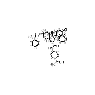 CC(O)[C@@H]1CC[C@@H](NC(=O)[C@@H]2NC3(CCC(C)(C)CC3)[C@@]3(C(=O)Nc4cc(Cl)ccc43)[C@H]2c2ccnc(Cl)c2F)CO1.O=S(=O)(O)c1ccccc1